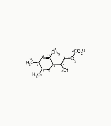 CCC(COC(=O)O)C1CC(C)C(C)C=C1C